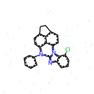 Clc1cccc2nc3n(-c4ccccc4)c4ccc5c6c(ccc(c64)n3c12)CC5